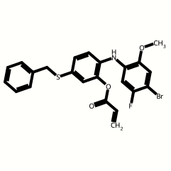 C=CC(=O)Oc1cc(SCc2ccccc2)ccc1Nc1cc(F)c(Br)cc1OC